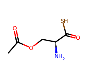 CC(=O)OC[C@H](N)C(=O)S